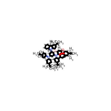 CC(C)(C)c1ccc(N(c2ccc(C(C)(C)C)cc2)c2cc3c4c(c2)N2c5c(cc(C(C)(C)C)cc5C5(C)CCCCC25C)B4c2cc4oc5cc(C(C)(C)C)ccc5c4cc2N3c2ccc(C(C)(C)C)cc2-c2ccccc2)cc1